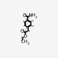 CCOC(=O)Cc1ccc(C(N)=O)cc1